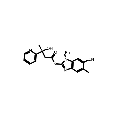 Cc1cc2nc(NC(=O)C[C@@](C)(O)c3ccccn3)n(C(C)(C)C)c2cc1C#N